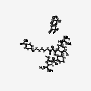 CSc1sc(C(=N)N)cc1S(=O)(=O)c1cccc(-c2c(C)cc(NC(=N)N)cc2NC(=O)NCCCCCOc2ccc(C(=O)O)cc2)c1.O=C(O)C(F)(F)F.O=C(O)C(F)(F)F